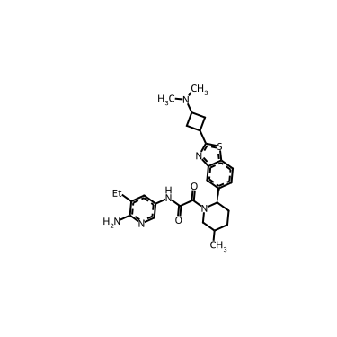 CCc1cc(NC(=O)C(=O)N2CC(C)CC[C@@H]2c2ccc3sc(C4CC(N(C)C)C4)nc3c2)cnc1N